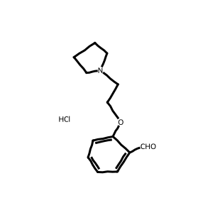 Cl.O=Cc1ccccc1OCCN1CCCC1